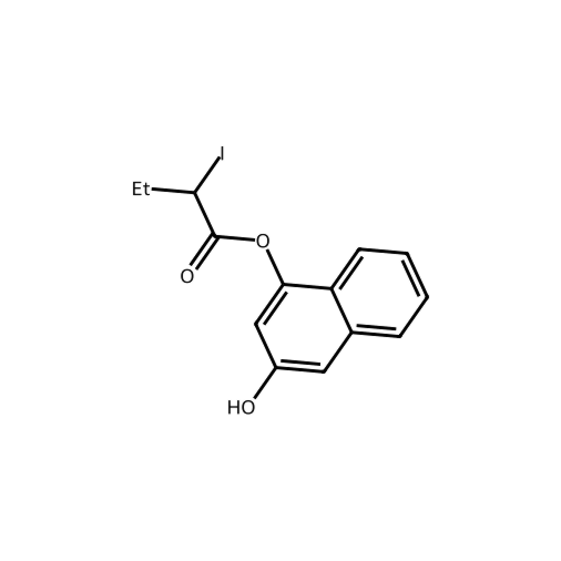 CCC(I)C(=O)Oc1cc(O)cc2ccccc12